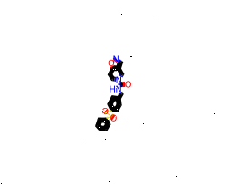 O=C(NCc1ccc(S(=O)(=O)c2ccccc2)cc1)N1CCc2oncc2C1